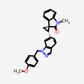 COc1ccc(Cn2ncc3ccc([C@@H]4C[C@@]45C(=O)N(C)c4ccccc45)cc32)cc1